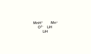 [LiH].[LiH].[Mn+].[MnH+].[O-2]